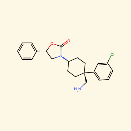 NC[C@]1(c2cccc(Cl)c2)CC[C@H](N2C[C@H](c3ccccc3)OC2=O)CC1